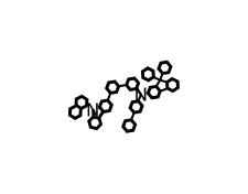 c1ccc(-c2ccc(N(c3cccc(-c4cccc(-c5ccc6c7ccccc7n(-c7cccc8ccccc78)c6c5)c4)c3)c3ccc4c(c3)C(c3ccccc3)(c3ccccc3)c3ccccc3-4)cc2)cc1